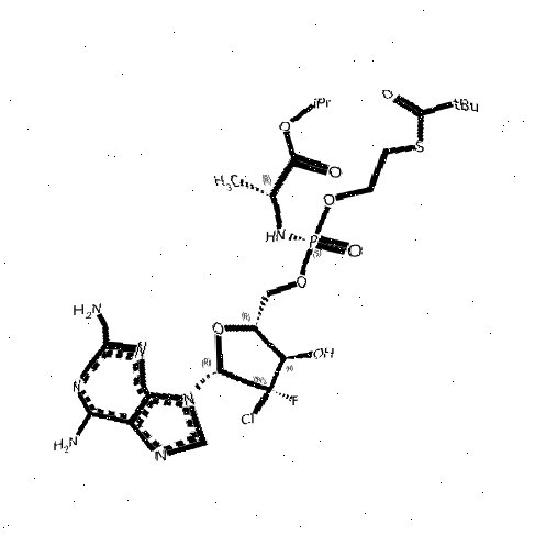 CC(C)OC(=O)[C@@H](C)N[P@@](=O)(OCCSC(=O)C(C)(C)C)OC[C@H]1O[C@@H](n2cnc3c(N)nc(N)nc32)[C@](F)(Cl)[C@@H]1O